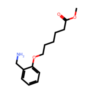 COC(=O)CCCCCOc1ccccc1CN